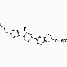 C=CCCc1ccc(-c2ccc(-c3ccc4cc(CCCCCCC)ccc4c3)cc2F)cc1